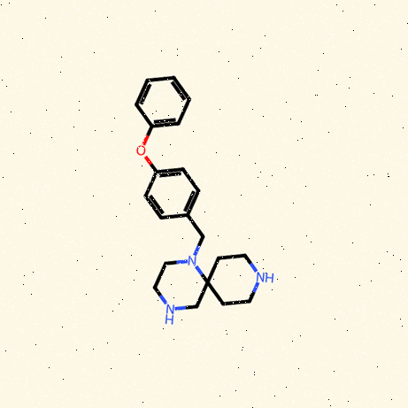 c1ccc(Oc2ccc(CN3CCNCC34CCNCC4)cc2)cc1